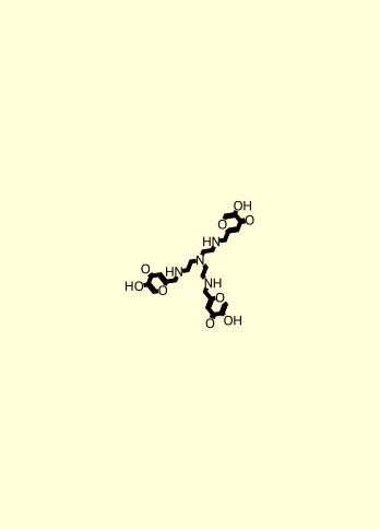 O=c1cc(CNCCN(CCNCc2cc(=O)c(O)co2)CCNCc2cc(=O)c(O)co2)occ1O